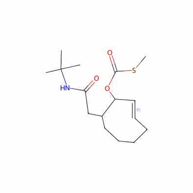 CSC(=O)OC1/C=C/CCCCC1CC(=O)NC(C)(C)C